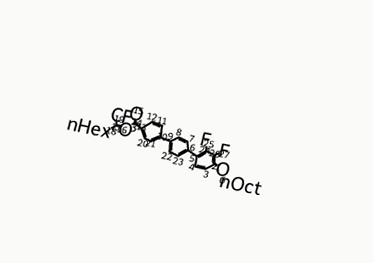 CCCCCCCCOc1ccc(-c2ccc(-c3ccc(C(=O)OC(CCCCCC)C(F)(F)F)cc3)cc2)c(F)c1F